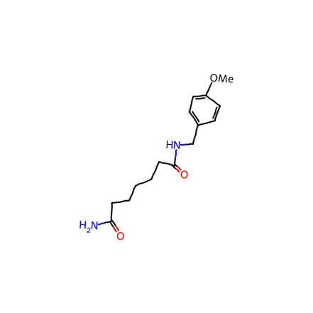 COc1ccc(CNC(=O)CCCCCC(N)=O)cc1